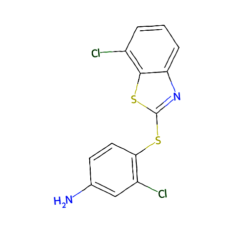 Nc1ccc(Sc2nc3cccc(Cl)c3s2)c(Cl)c1